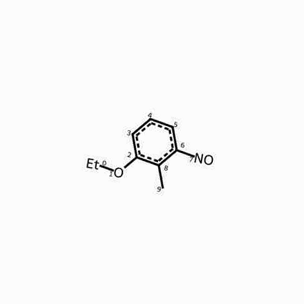 CCOc1cccc(N=O)c1C